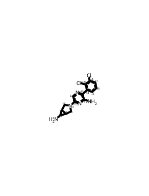 Nc1nc(N2CC3C(N)C3C2)cnc1-c1cccc(Cl)c1Cl